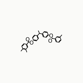 Cc1cccc(C(=O)Oc2ccc(C(C)c3ccc(OC(=O)c4ccc(C)c(C)c4)cc3)cc2)c1